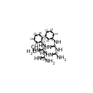 C=C.N=C(N)NC(=N)Nc1ccccc1.N=C(N)NC(=N)Nc1ccccc1